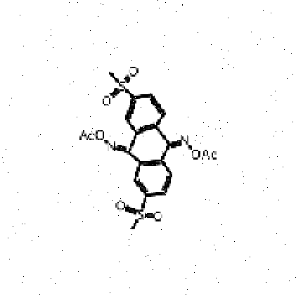 CC(=O)ON=C1c2ccc(S(C)(=O)=O)cc2C(=NOC(C)=O)c2cc(S(C)(=O)=O)ccc21